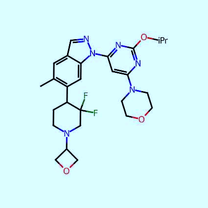 Cc1cc2cnn(-c3cc(N4CCOCC4)nc(OC(C)C)n3)c2cc1C1CCN(C2COC2)CC1(F)F